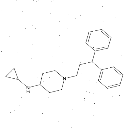 c1ccc(C(CCN2CCC(NC3CC3)CC2)c2ccccc2)cc1